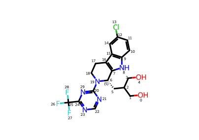 OCC(CO)C[C@H]1c2[nH]c3ccc(Cl)cc3c2CCN1c1ncnc(C(F)(F)F)n1